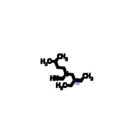 C/C=C(/CC)CN(C=N)CCC(C)C